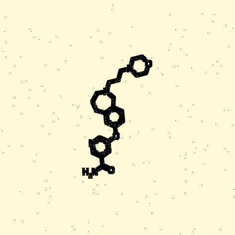 NC(=O)c1cncc(Oc2ccc3c(c2)CCCN(CCCN2CCOCC2)C3)c1